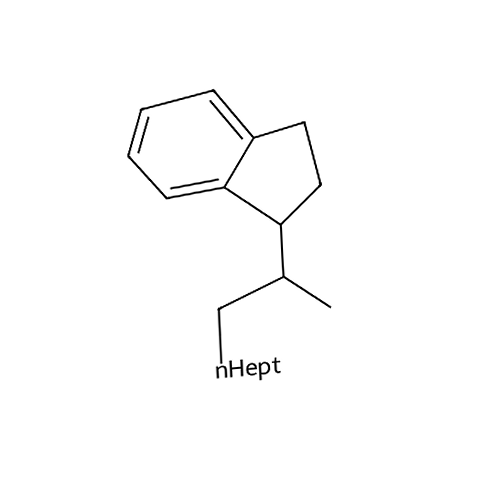 CCCCCCCCC(C)C1CCc2ccccc21